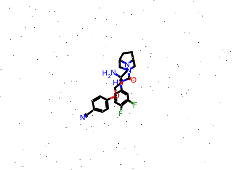 N#Cc1ccc(OCCC(N)CN2C3CCC2CN(C(=O)Nc2ccc(F)c(F)c2)C3)cc1